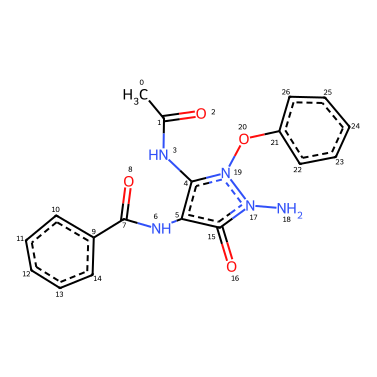 CC(=O)Nc1c(NC(=O)c2ccccc2)c(=O)n(N)n1Oc1ccccc1